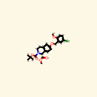 COC(=O)[C@H]1c2ccc(OCc3cc(Br)ccc3OC)cc2CCN1C(=O)OC(C)(C)C